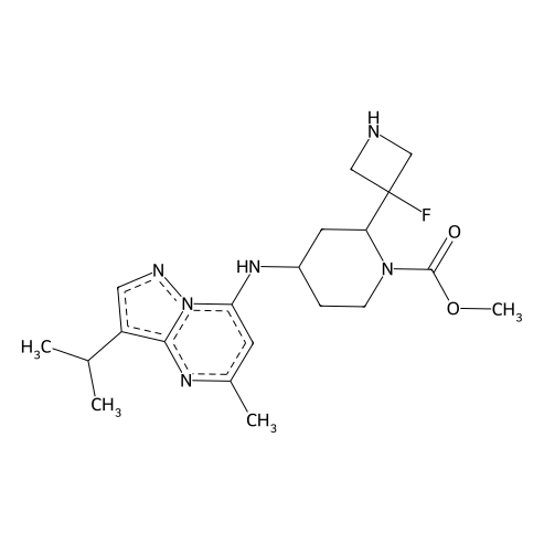 COC(=O)N1CCC(Nc2cc(C)nc3c(C(C)C)cnn23)CC1C1(F)CNC1